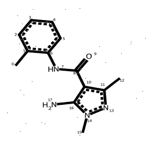 Cc1ccccc1NC(=O)c1c(C)nn(C)c1N